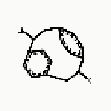 ClC1Cc2ccc(cc2)C(Cl)Cc2ccc1cc2